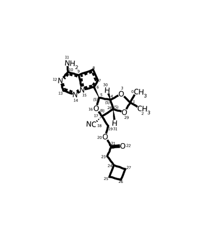 CC1(C)O[C@H]2[C@H](c3ccc4c(N)ncnn34)O[C@](C#N)(COC(=O)CC3CCC3)[C@H]2O1